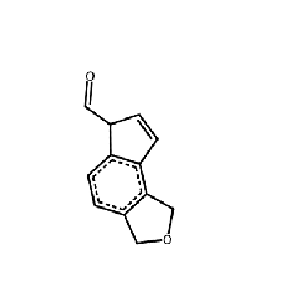 O=CC1C=Cc2c1ccc1c2COC1